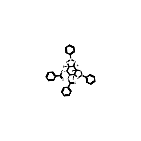 O=C(O[C@@H]1[C@H]2OB(c3ccccc3)O[C@H]2[C@@H]2OB(c3ccccc3)O[C@@H]2[C@H]1OC(=O)c1ccccc1)c1ccccc1